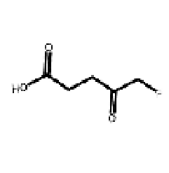 O=C(O)CCC(=O)CF